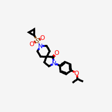 CC(C)Oc1ccc(N2CCC3(CCN(S(=O)(=O)C4CC4)CC3)C2=O)cc1